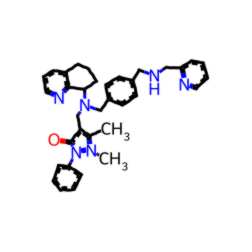 Cc1c(CN(Cc2ccc(CNCc3ccccn3)cc2)C2CCCc3cccnc32)c(=O)n(-c2ccccc2)n1C